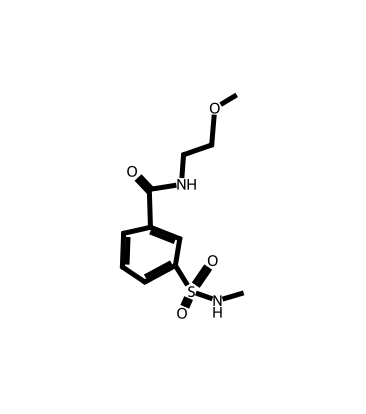 CNS(=O)(=O)c1cccc(C(=O)NCCOC)c1